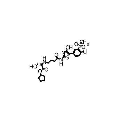 Cc1nc(NC(=O)CCCN[C@@H](CO)C(=O)OC2CCCC2)sc1-c1ccc(Cl)c(S(C)(=O)=O)c1